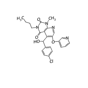 CCCCn1c(=O)c2c(C(O)c3ccc(Cl)cc3)c(Oc3cccnc3)cnc2n(C)c1=O